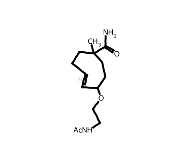 CC(=O)NCCOC1/C=C/CCC(C)(C(N)=O)CC1